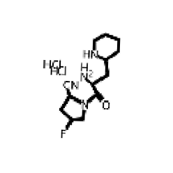 Cl.Cl.N#CC1CC(F)CN1C(=O)[C@@H](N)CC1CCCCN1